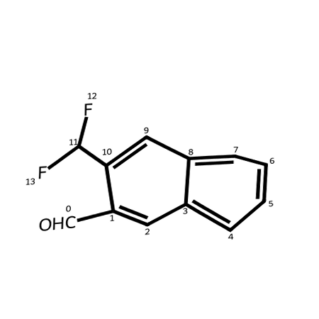 O=Cc1cc2ccccc2cc1C(F)F